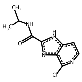 CC(C)NC(=O)c1nc2c(Cl)nccc2[nH]1